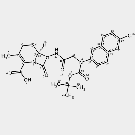 CC1=C(C(=O)O)N2C(=O)C(NC(=O)CN(C(=O)OC(C)(C)C)c3ccc4cc(Cl)ccc4c3)[C@@H]2SC1